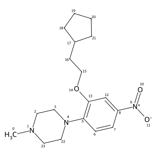 CN1CCN(c2ccc([N+](=O)[O-])cc2OCCC2CCCC2)CC1